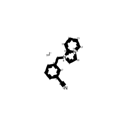 N#Cc1cccc(Cn2cc[n+]3ccccc23)c1.[I-]